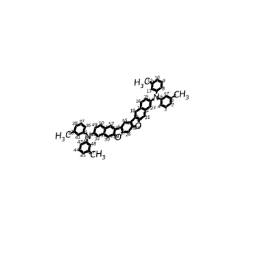 Cc1cccc(N(c2cccc(C)c2)c2ccc3cc4c(cc3c2)oc2cc3oc5cc6cc(N(c7cccc(C)c7)c7cccc(C)c7)ccc6cc5c3cc24)c1